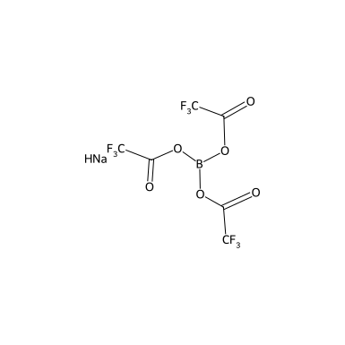 O=C(OB(OC(=O)C(F)(F)F)OC(=O)C(F)(F)F)C(F)(F)F.[NaH]